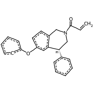 C=CC(=O)N1Cc2ccc(Oc3ccccc3)cc2[C@@H](c2ccccc2)C1